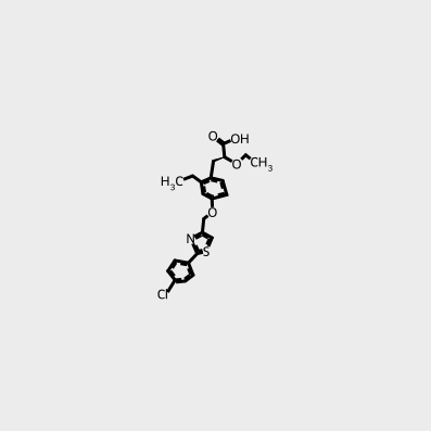 CCO[C@@H](Cc1ccc(OCc2csc(-c3ccc(Cl)cc3)n2)cc1CC)C(=O)O